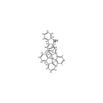 c1ccc2c(c1)-c1ccccc1C21c2ccccc2-c2cccc(-c3ccc4[nH]c5ccccc5c4c3)c21